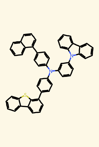 c1cc(N(c2ccc(-c3cccc4ccccc34)cc2)c2ccc(-c3cccc4c3sc3ccccc34)cc2)cc(-n2c3ccccc3c3ccccc32)c1